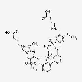 COc1nc(OCc2cccc(-c3cccc(COc4nc(OC)c(CNCCCC(=O)O)cc4S(C)(=O)=O)c3C)c2C)c(S(C)(=O)=O)cc1CNCCCC(=O)O